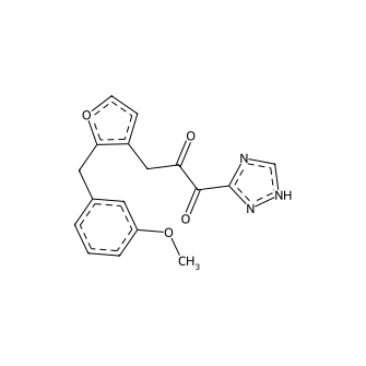 COc1cccc(Cc2occc2CC(=O)C(=O)c2nc[nH]n2)c1